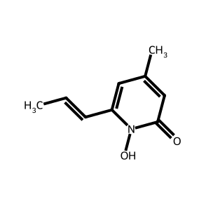 CC=Cc1cc(C)cc(=O)n1O